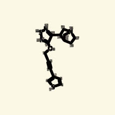 C(#Cc1ccsc1)COc1nsnc1C1CN2CCC1C2